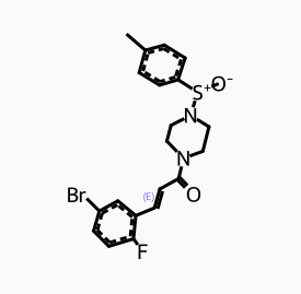 Cc1ccc([S+]([O-])N2CCN(C(=O)/C=C/c3cc(Br)ccc3F)CC2)cc1